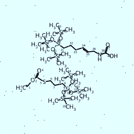 C=COC(=O)SCCC[Si](O[Si](C)(C)C)(O[Si](C)(C)C)O[Si](C)(C)C.C[Si](C)(C)O[Si](CCCC=CCNC(=O)O)(O[Si](C)(C)C)O[Si](C)(C)C